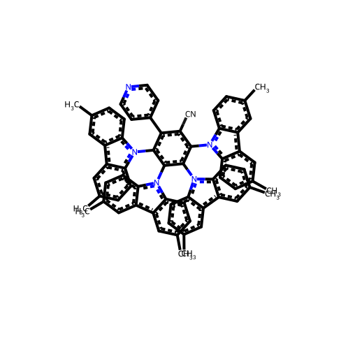 Cc1ccc2c(c1)c1cc(C)ccc1n2-c1c(C#N)c(-c2ccncc2)c(-n2c3ccc(C)cc3c3cc(C)ccc32)c(-n2c3ccc(C)cc3c3cc(C)ccc32)c1-n1c2ccc(C)cc2c2cc(C)ccc21